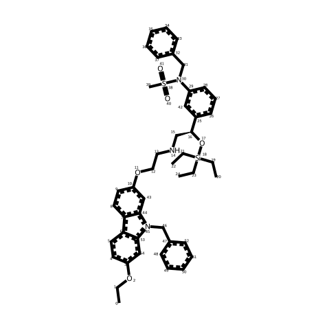 CCOc1ccc2c3ccc(OCCNC[C@H](O[Si](CC)(CC)CC)c4cccc(N(Cc5ccccc5)S(C)(=O)=O)c4)cc3n(Cc3ccccc3)c2c1